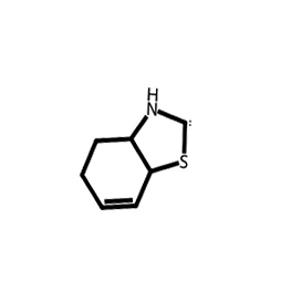 [C]1NC2CCC=CC2S1